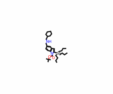 CCC[CH2][Sn]([CH2]CCC)([CH2]CCC)[c]1cc2cc(CNCC3CCCCC3)ccc2n1C(=O)OC(C)(C)C